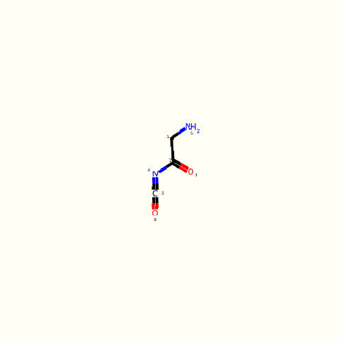 NCC(=O)N=C=O